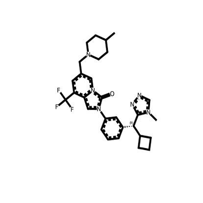 CC1CCN(Cc2cc(C(F)(F)F)c3cn(-c4cccc([C@H](c5nncn5C)C5CCC5)c4)c(=O)n3c2)CC1